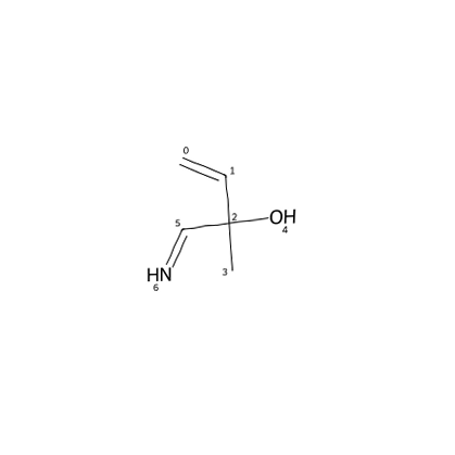 C=CC(C)(O)C=N